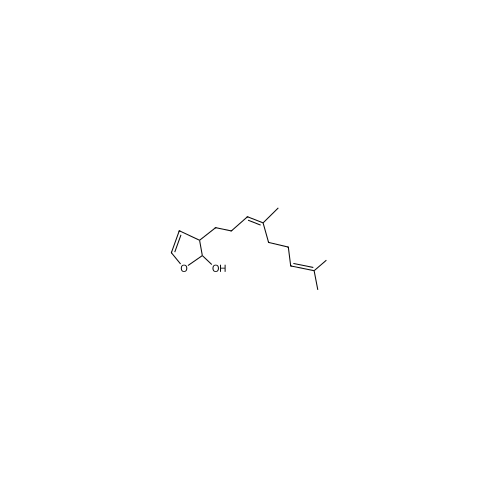 CC(C)=CCCC(C)=CCCC1C=COC1O